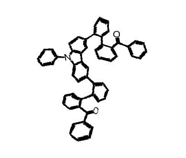 O=C(c1ccccc1)c1ccccc1-c1ccccc1-c1ccc2c(c1)c1cc(-c3ccccc3-c3ccccc3C(=O)c3ccccc3)ccc1n2-c1ccccc1